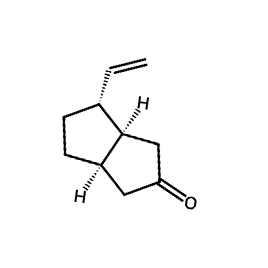 C=C[C@H]1CC[C@@H]2CC(=O)C[C@@H]21